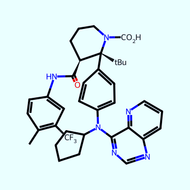 Cc1ccc(NC(=O)[C@H]2CCCN(C(=O)O)[C@@]2(c2ccc(N(c3ncnc4cccnc34)C3CCCC3)cc2)C(C)(C)C)cc1C(F)(F)F